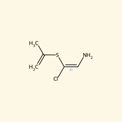 C=C(C)S/C(Cl)=C\N